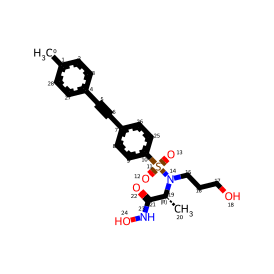 Cc1ccc(C#Cc2ccc(S(=O)(=O)N(CCCO)[C@H](C)C(=O)NO)cc2)cc1